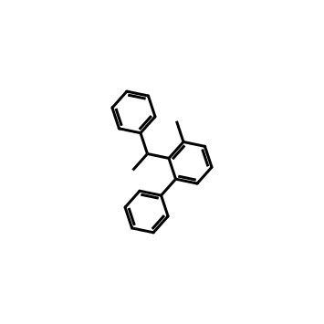 Cc1cccc(-c2ccccc2)c1C(C)c1ccccc1